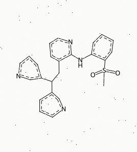 CS(=O)(=O)c1ccccc1Nc1ncccc1CC(c1cccnc1)c1cccnc1